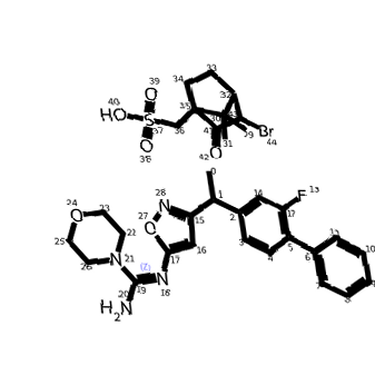 CC(c1ccc(-c2ccccc2)c(F)c1)c1cc(/N=C(/N)N2CCOCC2)on1.CC1(C)C2CCC1(CS(=O)(=O)O)C(=O)C2Br